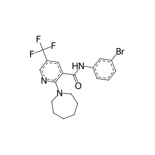 O=C(Nc1cccc(Br)c1)c1cc(C(F)(F)F)cnc1N1CCCCCC1